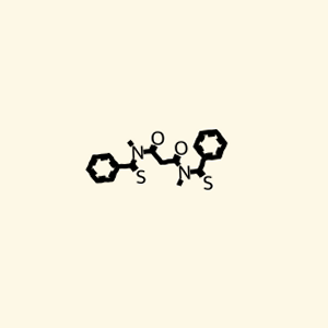 CN(C(=O)CC(=O)N(C)C(=S)c1ccccc1)C(=S)c1ccccc1